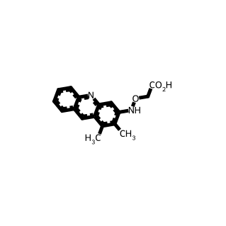 Cc1c(NOCC(=O)O)cc2nc3ccccc3cc2c1C